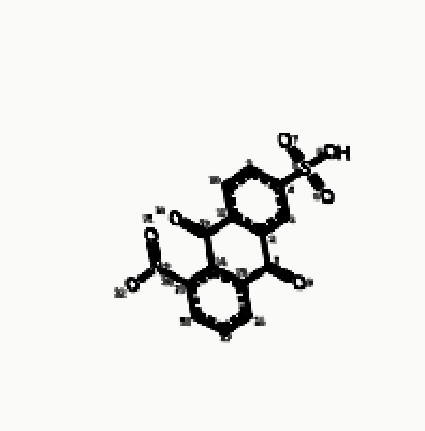 O=C1c2cc(S(=O)(=O)O)ccc2C(=O)c2c1cccc2[N+](=O)[O-]